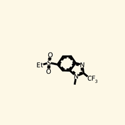 CCS(=O)(=O)c1ccc2nc(C(F)(F)F)n(C)c2c1